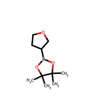 CC1(C)OB(C2CCOC2)OC1(C)C